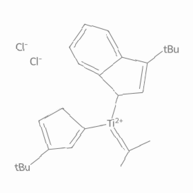 C[C](C)=[Ti+2]([C]1=CC(C(C)(C)C)=CC1)[CH]1C=C(C(C)(C)C)c2ccccc21.[Cl-].[Cl-]